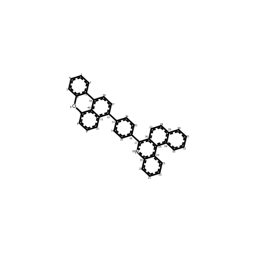 c1ccc2c(c1)Oc1cccc3c(-c4ccc(-c5nc6ccccc6c6c5ccc5ccccc56)cc4)ccc-2c13